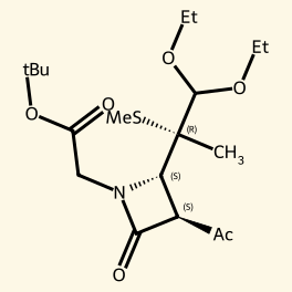 CCOC(OCC)[C@](C)(SC)[C@@H]1[C@@H](C(C)=O)C(=O)N1CC(=O)OC(C)(C)C